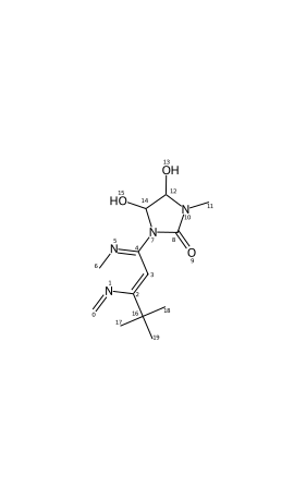 C=N/C(=C\C(=N/C)N1C(=O)N(C)C(O)C1O)C(C)(C)C